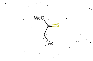 COC(=S)CC(C)=O